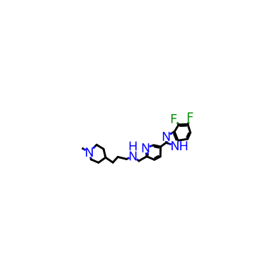 CN1CCC(CCCNCc2ccc(-c3nc4c(F)c(F)ccc4[nH]3)cn2)CC1